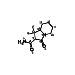 CC1(C)C(C(N)=O)C(=O)N2CCCCC21